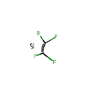 FC(F)=C(F)F.[Si]